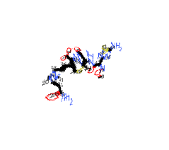 CO/N=C(\C(=O)N[C@@H]1C(=O)N2C(C(=O)[O-])=C(/C=C/C[N+](C)(C)CCC(N)=O)CS[C@@H]12)c1nsc(N)n1